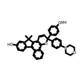 COc1ccc(C2(c3ccc(N4CCOCC4)cc3)C=Cc3c4c(c5ccccc5c3O2)-c2ccc(O)cc2C4(C)C)cc1